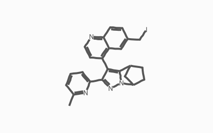 Cc1cccc(-c2nn3c(c2-c2ccnc4ccc(CI)cc24)C2CCC3C2)n1